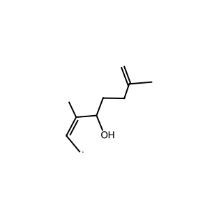 [CH2]C=C(C)C(O)CCC(=C)C